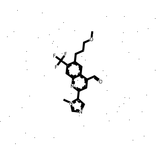 COCCCc1cc2c(C=O)cc(-c3cncn3C)nc2cc1C(F)(F)F